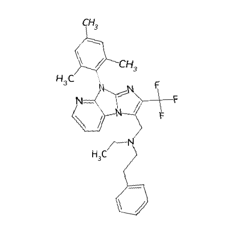 CCN(CCc1ccccc1)Cc1c(C(F)(F)F)nc2n(-c3c(C)cc(C)cc3C)c3ncccc3n12